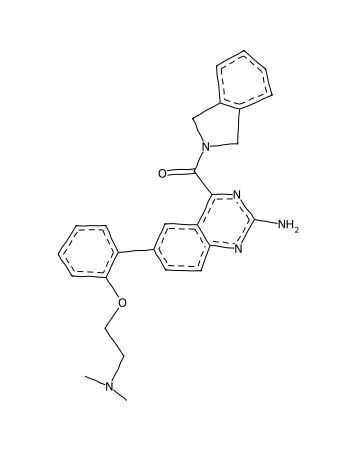 CN(C)CCOc1ccccc1-c1ccc2nc(N)nc(C(=O)N3Cc4ccccc4C3)c2c1